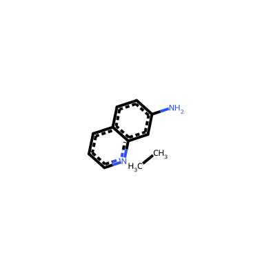 CC.Nc1ccc2cccnc2c1